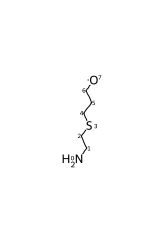 NCCSCCC[O]